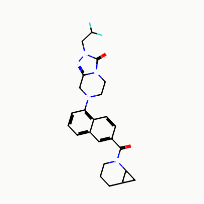 O=C(c1ccc2c(N3CCn4c(nn(CC(F)F)c4=O)C3)cccc2c1)N1CCCC2CC21